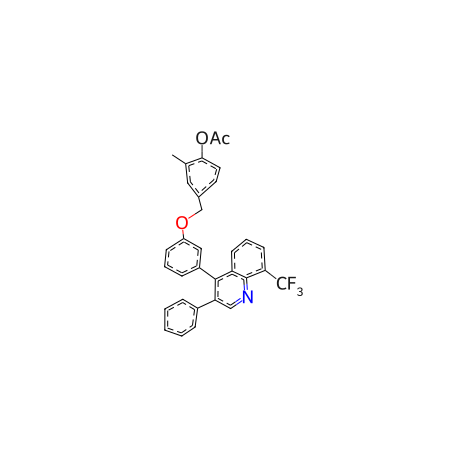 CC(=O)Oc1ccc(COc2cccc(-c3c(-c4ccccc4)cnc4c(C(F)(F)F)cccc34)c2)cc1C